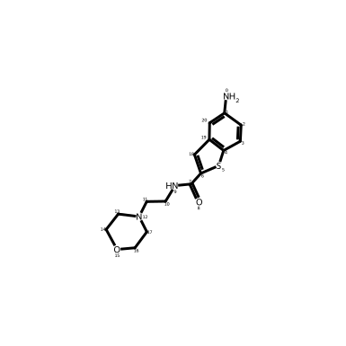 Nc1ccc2sc(C(=O)NCCN3CCOCC3)cc2c1